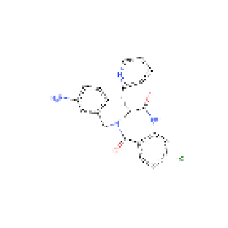 Nc1cccc(CN2C(=O)c3ccc(Cl)cc3NC(=O)[C@H]2Cc2ccccn2)c1